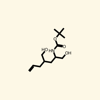 C=CCC(CO)CC(CO)NC(=O)OC(C)(C)C